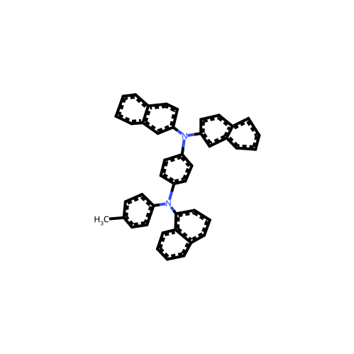 Cc1ccc(N(c2ccc(N(c3ccc4ccccc4c3)c3ccc4ccccc4c3)cc2)c2cccc3ccccc23)cc1